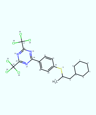 CC(CC1CCCCC1)Sc1ccc(-c2nc(C(Cl)(Cl)Cl)nc(C(Cl)(Cl)Cl)n2)cc1